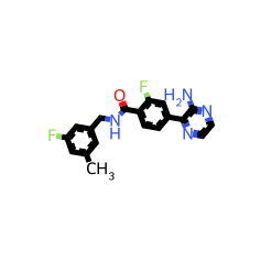 Cc1cc(F)cc(CNC(=O)c2ccc(-c3nccnc3N)cc2F)c1